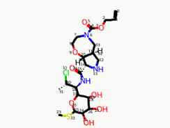 C=CCOC(=O)N1CCO[C@@H]2[C@H](CN[C@@H]2C(=O)N[C@@H](C2OC(SC)C(O)C(O)C2O)[C@H](C)Cl)C1